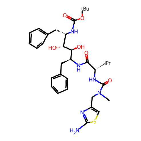 CC(C)[C@H](NC(=O)N(C)Cc1csc(N)n1)C(=O)N[C@@H](Cc1ccccc1)[C@H](O)[C@H](O)[C@H](Cc1ccccc1)NC(=O)OC(C)(C)C